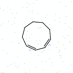 [CH]1C/C=C\C=C/CCC1